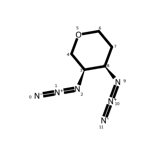 [N-]=[N+]=N[C@H]1COCC[C@H]1N=[N+]=[N-]